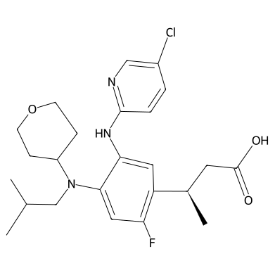 CC(C)CN(c1cc(F)c([C@H](C)CC(=O)O)cc1Nc1ccc(Cl)cn1)C1CCOCC1